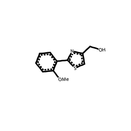 COc1ccccc1-c1nc(CO)cs1